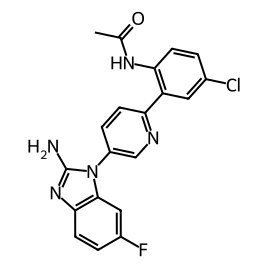 CC(=O)Nc1ccc(Cl)cc1-c1ccc(-n2c(N)nc3ccc(F)cc32)cn1